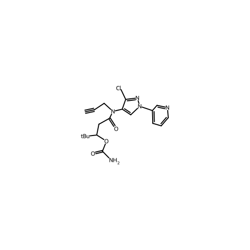 C#CCN(C(=O)CC(OC(N)=O)C(C)(C)C)c1cn(-c2cccnc2)nc1Cl